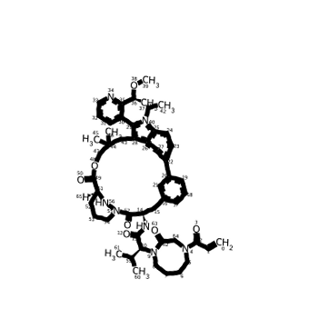 C=CC(=O)N1CCCCN([C@H](C(=O)N[C@H]2Cc3cccc(c3)-c3ccc4c(c3)c(c(-c3cccnc3[C@H](C)OC)n4CC)CC(C)(C)COC(=O)[C@@H]3CCCN(N3)C2=O)C(C)C)C(=O)C1